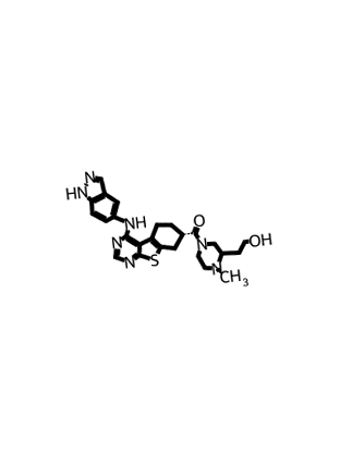 CN1CCN(C(=O)[C@H]2CCc3c(sc4ncnc(Nc5ccc6[nH]ncc6c5)c34)C2)CC1CCO